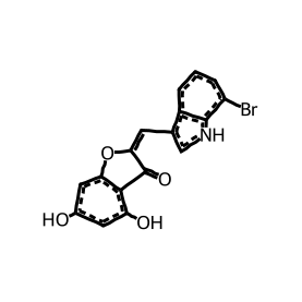 O=C1C(=Cc2c[nH]c3c(Br)cccc23)Oc2cc(O)cc(O)c21